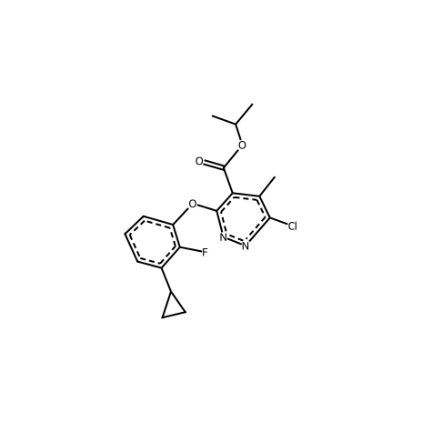 Cc1c(Cl)nnc(Oc2cccc(C3CC3)c2F)c1C(=O)OC(C)C